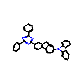 c1ccc(-c2nc(-c3ccccc3)nc(-c3ccc4c(c3)Cc3cc(-n5c6ccccc6c6ccccc65)ccc3-4)n2)cc1